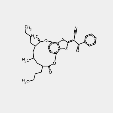 C=C1Oc2ccc(c3c2S/C(=C(\C#N)C(=O)c2ccccc2)S3)OC(=O)C(CCCC)CC(C)CC1CCCC